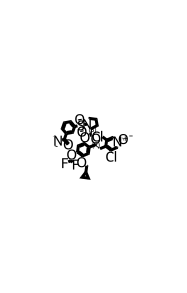 CN(C)C(=O)c1cccc(S(=O)(=O)N2CCC[C@H]2C(=O)O[C@H](Cc2c(Cl)c[n+]([O-])cc2Cl)c2ccc(OC(F)F)c(OCC3CC3)c2)c1